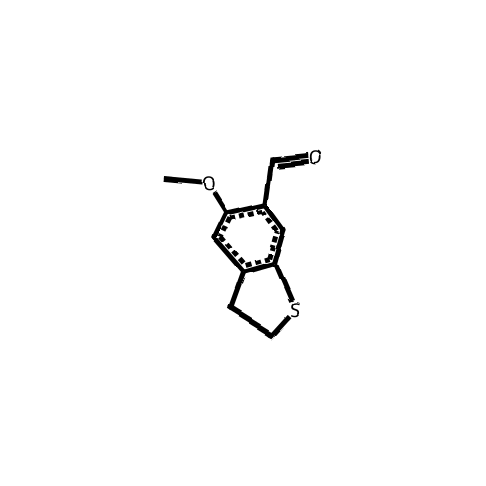 COc1cc2c(cc1C=O)SCC2